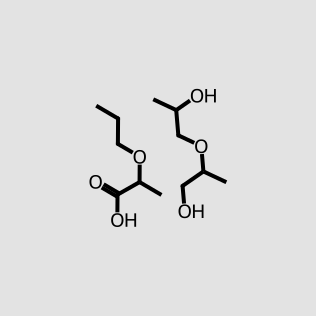 CC(O)COC(C)CO.CCCOC(C)C(=O)O